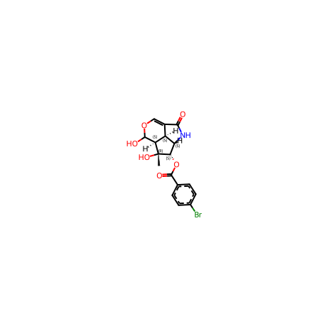 C[C@]1(O)[C@@H](OC(=O)c2ccc(Br)cc2)[C@H]2NC(=O)C3=COC(O)[C@H]1[C@@H]32